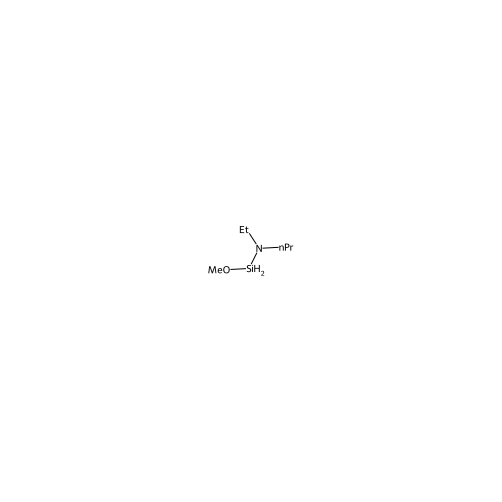 CCCN(CC)[SiH2]OC